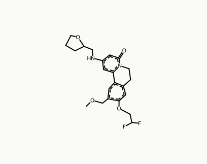 COCc1cc2c(cc1OCC(F)F)CCn1c-2cc(NCC2CCCO2)cc1=O